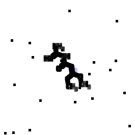 CC/C(=C\C(=O)NC(=N)N)OC